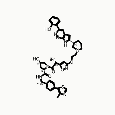 Cc1ncsc1-c1ccc([C@H](C)NC(=O)[C@@H]2C[C@@H](O)CN2C(=O)[C@@H](c2cc(OCCN3CCC[C@@H](c4cc5cc(-c6ccccc6O)nnc5[nH]4)C3)no2)C(C)C)cc1